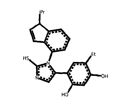 CCc1cc(-c2cnc(S)n2-c2cccc3c2C=CC3C(C)C)c(O)cc1O